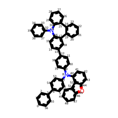 c1ccc(-c2ccc(N(c3ccc(-c4ccc5c(c4)-c4ccccc4-c4ccccc4N5c4ccccc4)cc3)c3cccc4oc5ccccc5c34)cc2)cc1